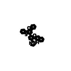 C1=CN=C(c2ccc(-c3cc4c5ccccc5oc4c4c3sc3ccccc34)c3oc4cc5ccccc5cc4c23)NC1